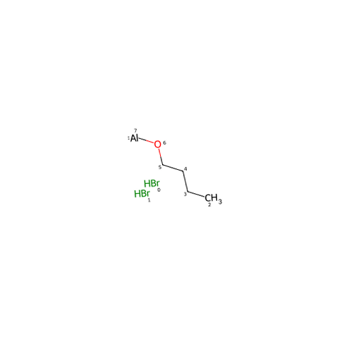 Br.Br.CCCC[O][Al]